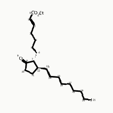 CCOC(=O)C=CCCCC[C@H]1C(=O)CC[C@@H]1CCCCCCCCI